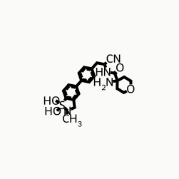 CN1Cc2cc(-c3ccc(CC(C#N)NC(=O)C4(N)CCOCC4)cc3)ccc2S1(O)O